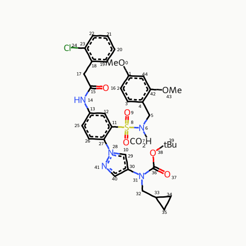 COc1ccc(CN(C(=O)O)S(=O)(=O)c2cc(NC(=O)Cc3ccccc3Cl)ccc2-n2cc(N(CC3CC3)C(=O)OC(C)(C)C)cn2)c(OC)c1